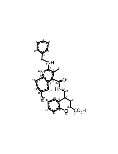 Cc1c(NCc2ccccc2)nc2ccc(Br)cc2c1C(=O)NCC(CCC(=O)O)c1ccccc1Cl